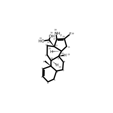 C[C@]12C=CCCC1CC[C@@H]1[C@@H]2CC[C@]2(C(O)O)C(N)=C(F)C[C@@H]12